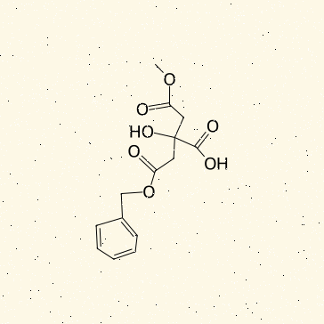 COC(=O)CC(O)(CC(=O)OCc1ccccc1)C(=O)O